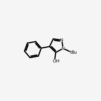 CC(C)(C)n1ncc(-c2ccccc2)c1O